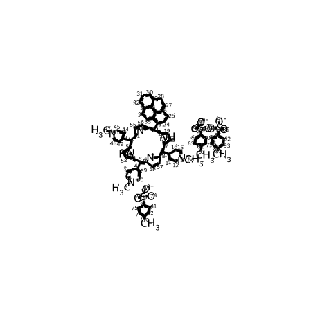 C[n+]1ccc(-c2c3nc(c(-c4cc[n+](C)cc4)c4ccc([nH]4)c(-c4ccc5ccc6cccc7ccc4c5c67)c4nc(c(-c5cc[n+](C)cc5)c5ccc2[nH]5)C=C4)C=C3)cc1.Cc1ccc(S(=O)(=O)[O-])cc1.Cc1ccc(S(=O)(=O)[O-])cc1.Cc1ccc(S(=O)(=O)[O-])cc1